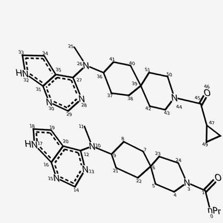 CCCC(=O)N1CCC2(CCC(N(C)c3ncnc4[nH]ccc34)CC2)CC1.CN(c1ncnc2[nH]ccc12)C1CCC2(CC1)CCN(C(=O)C1CC1)CC2